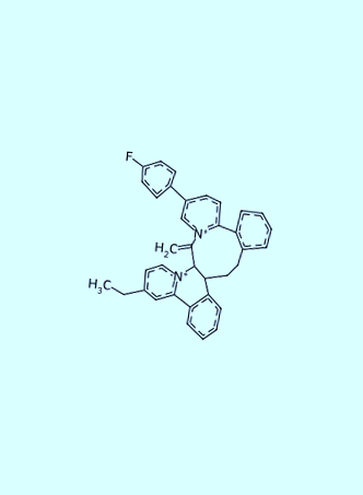 C=C1C2C(CCc3ccccc3-c3ccc(-c4ccc(F)cc4)c[n+]31)c1ccccc1-c1cc(CC)cc[n+]12